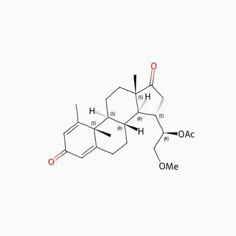 COC[C@H](OC(C)=O)[C@H]1CC(=O)[C@@]2(C)CC[C@H]3[C@@H](CCC4=CC(=O)C=C(C)[C@@]43C)[C@H]12